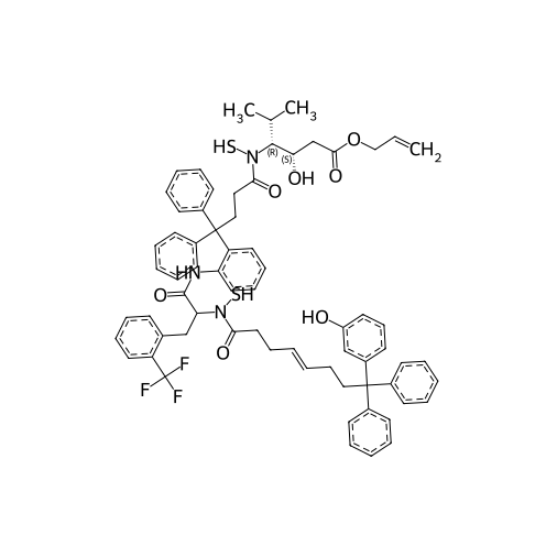 C=CCOC(=O)C[C@H](O)[C@@H](C(C)C)N(S)C(=O)CCC(c1ccccc1)(c1ccccc1)c1ccccc1NC(=O)C(Cc1ccccc1C(F)(F)F)N(S)C(=O)CCC=CCCC(c1ccccc1)(c1ccccc1)c1cccc(O)c1